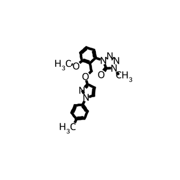 COc1cccc(-n2nnn(C)c2=O)c1COc1ccn(-c2ccc(C)cc2)n1